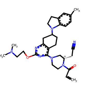 C=CC(=O)N1CCN(c2nc(OCCN(C)C)nc3c2CCC(N2CCc4cc(C)ccc42)C3)C[C@@H]1CC#N